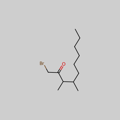 CCCCCCC(C)C(C)C(=O)CBr